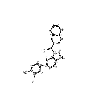 C=C(c1ccc2ncccc2c1)n1nnc2ccc(-c3ccc(C(C)=O)c(Cl)c3)nc21